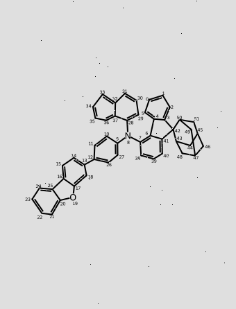 c1ccc2c(c1)-c1c(N(c3ccc(-c4ccc5c(c4)oc4ccccc45)cc3)c3cccc4ccccc34)cccc1C21C2CC3CC(C2)CC1C3